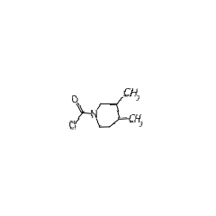 CC1CCN(C(=O)Cl)CC1C